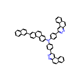 c1ccc2cc(-c3ccc4c(ccc5cc(N(c6ccc(-c7cc8c(ccc9ccccc98)nn7)cc6)c6ccc(-c7cc8c(ccc9ccccc98)nn7)cc6)ccc54)c3)ccc2c1